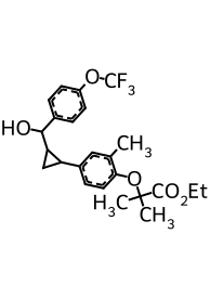 CCOC(=O)C(C)(C)Oc1ccc(C2CC2C(O)c2ccc(OC(F)(F)F)cc2)cc1C